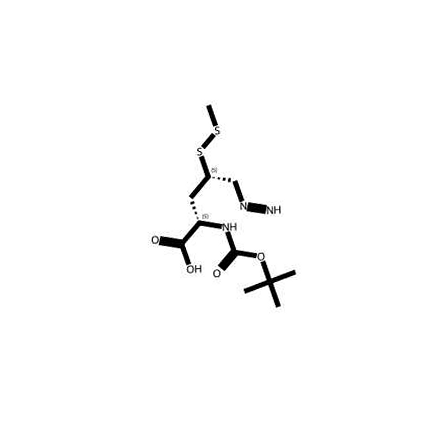 CSS[C@H](CN=N)C[C@H](NC(=O)OC(C)(C)C)C(=O)O